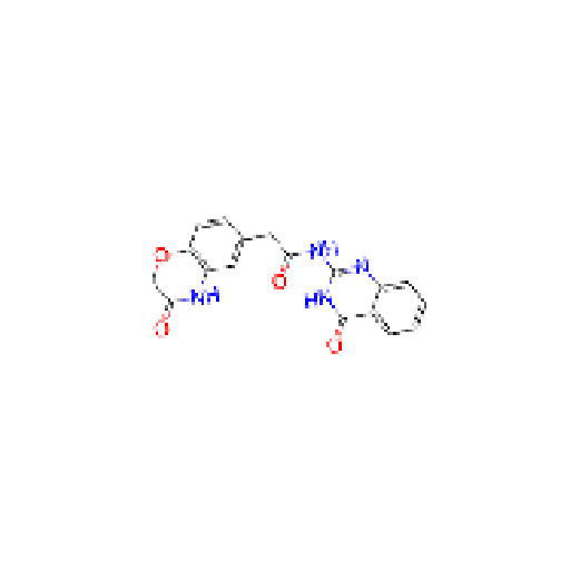 O=C(Cc1ccc2c(c1)NC(=O)CO2)Nc1nc2ccccc2c(=O)[nH]1